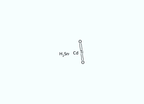 [Cd].[O]=[Ti]=[O].[SnH2]